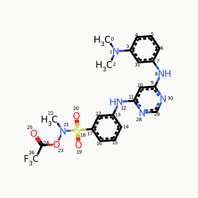 CN(C)c1cccc(Nc2cc(Nc3cccc(S(=O)(=O)N(C)OC(=O)C(F)(F)F)c3)ncn2)c1